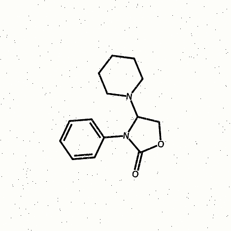 O=C1OCC(N2CCCCC2)N1c1ccccc1